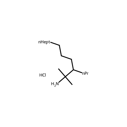 CCCCCCCCCCC(CCC)C(C)(C)N.Cl